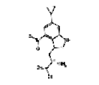 N[C@@H](Cc1c[nH]c2cc(C3CC3)cc([N+](=O)[O-])c12)C(=O)O